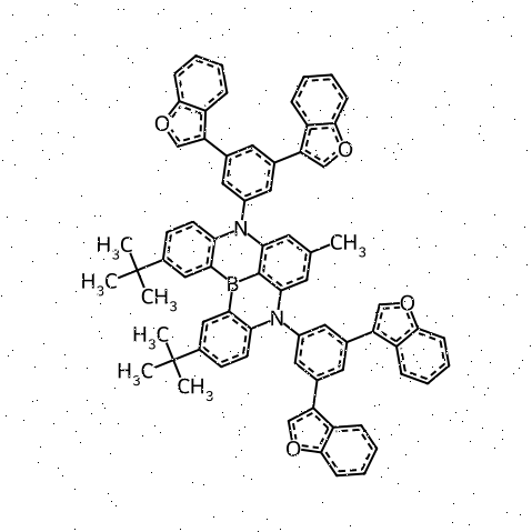 Cc1cc2c3c(c1)N(c1cc(-c4coc5ccccc45)cc(-c4coc5ccccc45)c1)c1ccc(C(C)(C)C)cc1B3c1cc(C(C)(C)C)ccc1N2c1cc(-c2coc3ccccc23)cc(-c2coc3ccccc23)c1